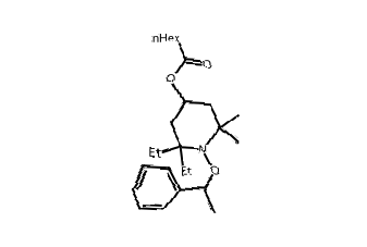 CCCCCCC(=O)OC1CC(C)(C)N(OC(C)c2ccccc2)C(CC)(CC)C1